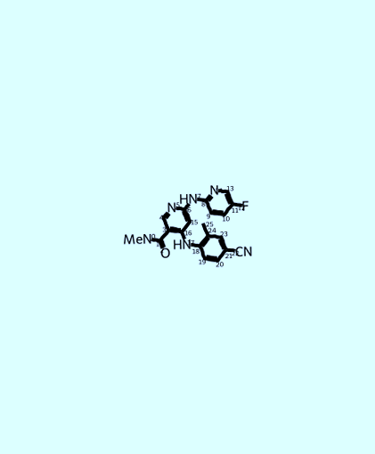 CNC(=O)c1cnc(Nc2ccc(F)cn2)cc1Nc1ccc(C#N)cc1C